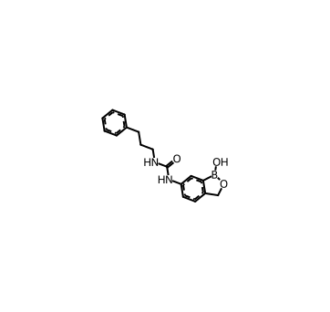 O=C(NCCCc1ccccc1)Nc1ccc2c(c1)B(O)OC2